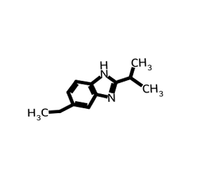 CCc1ccc2[nH]c(C(C)C)nc2c1